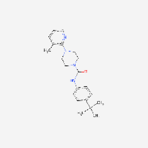 Cc1cccnc1N1CCN(C(=O)Nc2ccc(C(C)(C)C)cc2)CC1